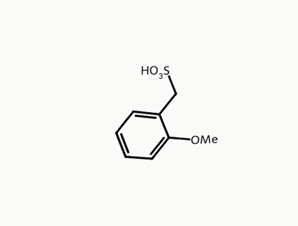 COc1ccccc1CS(=O)(=O)O